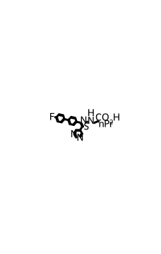 CCCC(CNc1nc(-c2ccc(-c3ccc(F)cc3)cc2)c(-c2cncnc2)s1)C(=O)O